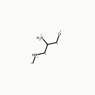 CNCC(N)C[O]